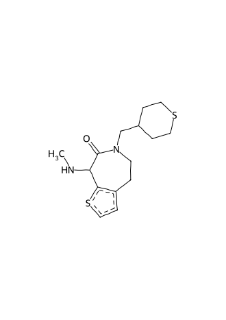 CNC1C(=O)N(CC2CCSCC2)CCc2ccsc21